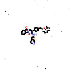 CC(C)[Si](OCCc1ccc(C(CN2C(=O)c3ccccc3C2=O)C(=O)Nc2cc3ccncc3s2)cc1)(C(C)C)C(C)C